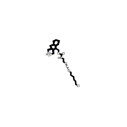 C/C=c1/c(COC(=O)NCCOCCOCCCCCCCl)c2ccccc2c/c1=C/CC